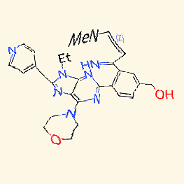 CCn1c(-c2ccncc2)nc2c(N3CCOCC3)nc(-c3ccc(CO)cc3C(=N)/C=C\NC)nc21